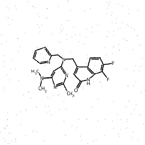 Cc1nc(N(C)C)cc(N(Cc2ccccn2)Cc2cc(=O)[nH]c3c(F)c(F)ccc23)n1